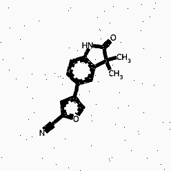 CC1(C)C(=O)Nc2ccc(-c3coc(C#N)c3)cc21